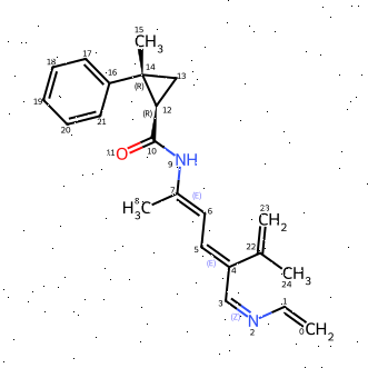 C=C\N=C/C(=C/C=C(\C)NC(=O)[C@@H]1C[C@@]1(C)c1ccccc1)C(=C)C